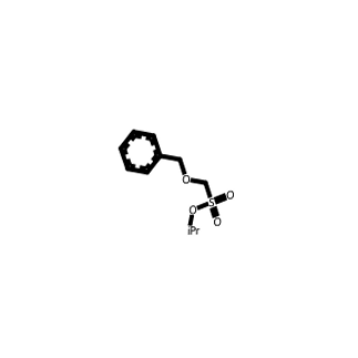 CC(C)OS(=O)(=O)COCc1ccccc1